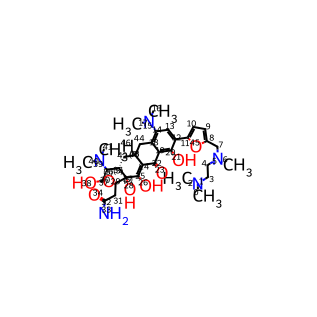 CN(C)CCN(C)Cc1ccc(-c2cc(N(C)C)c3c(c2O)C(=O)C2=C(O)[C@](O)(C(=O)CC(N)=O)[C@H]([C@@H](CO)N(C)C)C[C@@H]2C3)o1